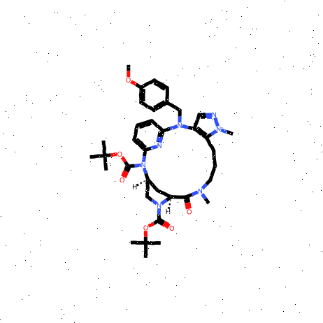 COc1ccc(CN2c3cccc(n3)N(C(=O)OC(C)(C)C)[C@H]3C[C@@H](C(=O)N(C)CCCc4c2cnn4C)N(C(=O)OC(C)(C)C)C3)cc1